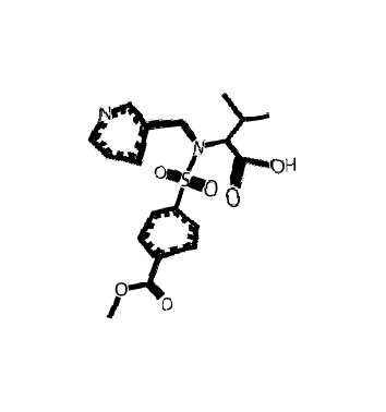 COC(=O)c1ccc(S(=O)(=O)N(Cc2cccnc2)C(C(=O)O)C(C)C)cc1